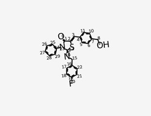 O=C1/C(=C/c2ccc(CO)cc2)S/C(=N\Cc2ccc(F)cc2)N1c1ccccc1